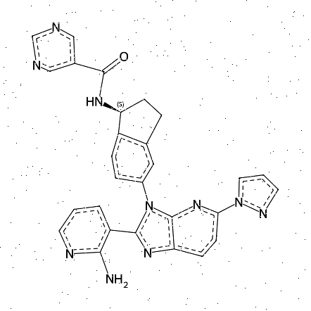 Nc1ncccc1-c1nc2ccc(-n3cccn3)nc2n1-c1ccc2c(c1)CC[C@@H]2NC(=O)c1cncnc1